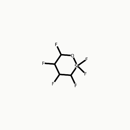 FC1O[Si](F)(F)C(F)C(F)C1F